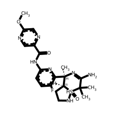 COc1cnc(C(=O)Nc2ccc(F)c([C@@]3(C)N=C(N)C(C)(C)[SH]4(=O)NCC[C@@H]34)n2)cn1